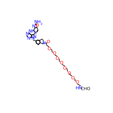 Nc1nc2c(o1)C=CC(c1nn(Cc3ccc4c(c3)CCN(C(=O)CCOCCOCCOCCOCCOCCOCCOCCOCCNC=O)C4)c3ncnc(N)c13)C2